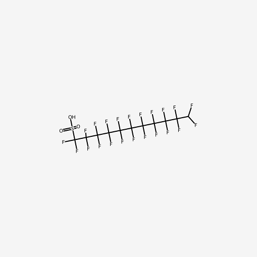 O=S(=O)(O)C(F)(F)C(F)(F)C(F)(F)C(F)(F)C(F)(F)C(F)(F)C(F)(F)C(F)(F)C(F)(F)C(F)(F)C(F)F